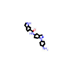 Nc1ccc(-n2ncc3cc(NC(=O)c4ccc5cc[nH]c5c4)ccc32)cc1